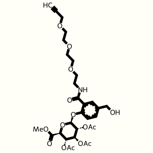 C#CCOCCOCCOCCNC(=O)c1cc(CO)ccc1O[C@@H]1O[C@H](C(=O)OC)[C@@H](OC(C)=O)[C@H](OC(C)=O)[C@H]1OC(C)=O